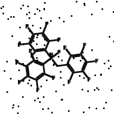 Fc1c(F)c(F)c(C[PH](F)(c2c(F)c(F)c(F)c(F)c2F)c2c(F)c(F)c(F)c(F)c2F)c(F)c1F